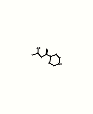 C=C(CC(C)O)C1CCNCC1